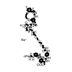 CCCNC(=O)Nc1cccc(S(=O)(=O)Nc2cccc([C@H](CC(=O)[O-])NC(=O)Nc3ccc(NC(=O)NCCOCCOCCOCCC(=O)N[C@@H](C)C(=O)N(C)[C@@H](C)C(=O)N[C@@H](CC(=O)N=[S@@](C)(=O)Cc4cc5cc(c4)OCCCCOc4cc(F)ccc4-c4nc(ncc4F)N5)C(N)=O)cc3)c2)c1.[Na+]